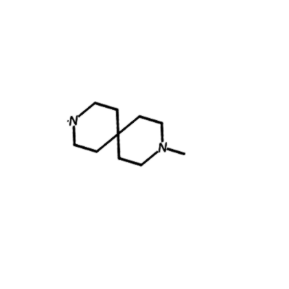 CN1CCC2(CC[N]CC2)CC1